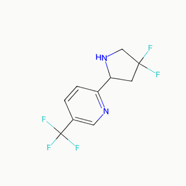 FC1(F)CNC(c2ccc(C(F)(F)F)cn2)C1